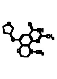 Cc1nc2c3c(c(O[C@H]4CCOC4)cc2c(=O)[nH]1)OCCN3C